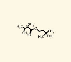 CC(C)[C@H](N)C(=O)OCCC(C)(C)O